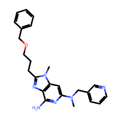 CN(Cc1cccnc1)c1cc2c(nc(CCCOCc3ccccc3)n2C)c(N)n1